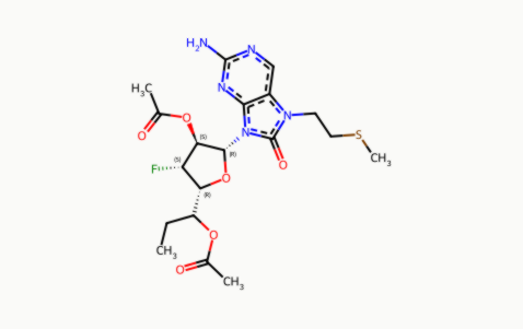 CCC(OC(C)=O)[C@H]1O[C@@H](n2c(=O)n(CCSC)c3cnc(N)nc32)[C@H](OC(C)=O)[C@H]1F